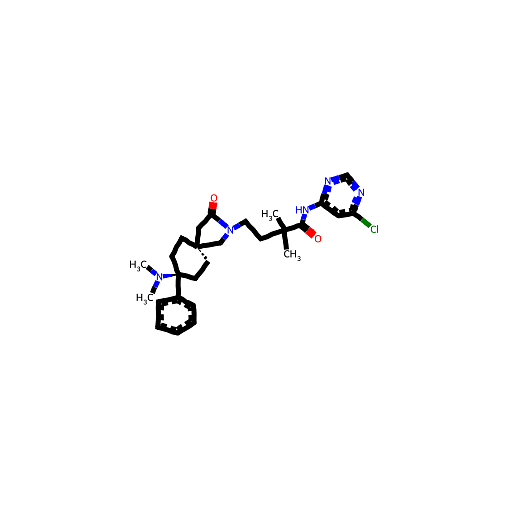 CN(C)[C@]1(c2ccccc2)CC[C@]2(CC1)CC(=O)N(CCC(C)(C)C(=O)Nc1cc(Cl)ncn1)C2